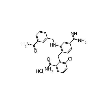 Cl.N=C(N)c1ccc(Cc2c(Cl)cccc2C(N)=O)c(NCc2cccc(C(N)=O)c2)c1